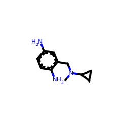 CN(Cc1cc(N)ccc1N)C1CC1